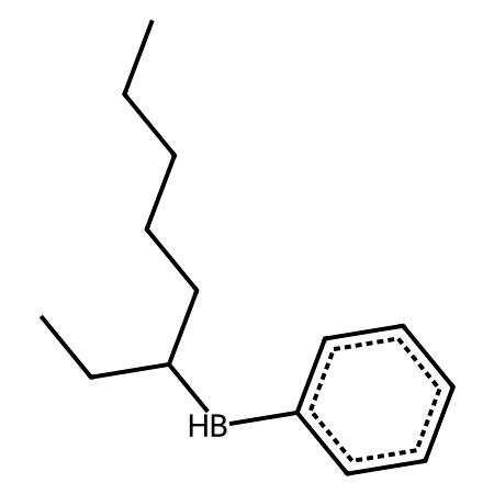 CCCCCC(Bc1ccccc1)CC